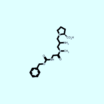 CN(CC(N)CN1CCC[C@H]1C(=O)O)C(=O)CNC(=O)OCc1ccccc1